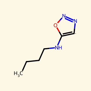 CCCCNc1[c]nno1